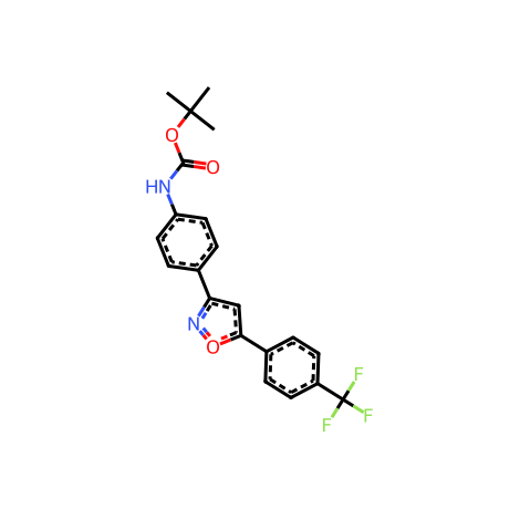 CC(C)(C)OC(=O)Nc1ccc(-c2cc(-c3ccc(C(F)(F)F)cc3)on2)cc1